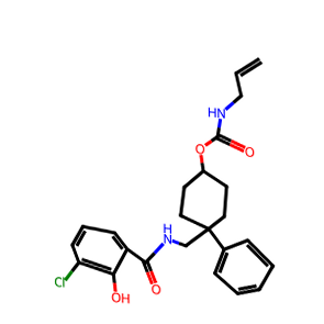 C=CCNC(=O)OC1CCC(CNC(=O)c2cccc(Cl)c2O)(c2ccccc2)CC1